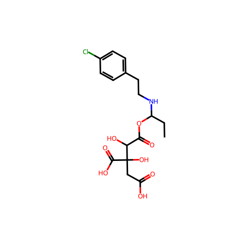 CCC(NCCc1ccc(Cl)cc1)OC(=O)C(O)C(O)(CC(=O)O)C(=O)O